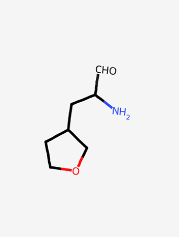 NC(C=O)CC1CCOC1